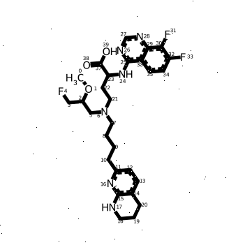 COC(CF)CN(CCCCc1ccc2c(n1)NCCC2)CCC(Nc1ncnc2c(F)c(F)ccc12)C(=O)O